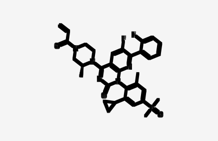 C=CC(=O)N1CCN(c2nc(=O)n(-c3c(C)cc(P(C)(C)=O)cc3C3CC3)c3nc(-c4ccccc4F)c(F)cc23)[C@@H](C)C1